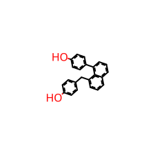 Oc1ccc(Cc2cccc3cccc(-c4ccc(O)cc4)c23)cc1